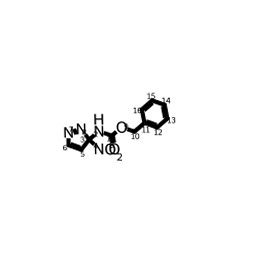 O=C(NC1([N+](=O)[O-])C=CN=N1)OCc1ccccc1